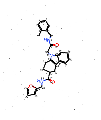 Cc1ccccc1CNC(=O)Cn1c2c(c3ccccc31)CC(C(=O)NCc1ccco1)CC2